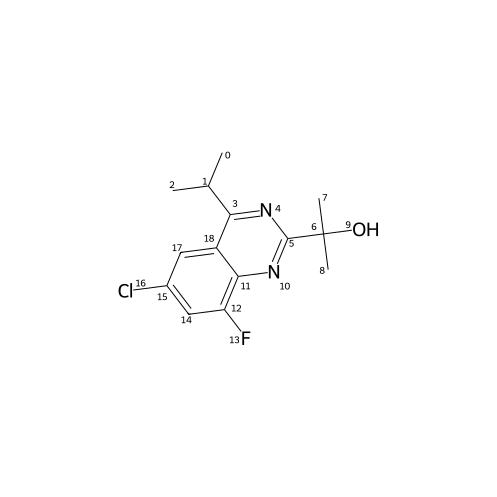 CC(C)c1nc(C(C)(C)O)nc2c(F)cc(Cl)cc12